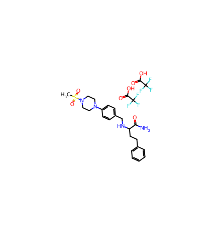 CS(=O)(=O)N1CCN(c2ccc(CNC(CCc3ccccc3)C(N)=O)cc2)CC1.O=C(O)C(F)(F)F.O=C(O)C(F)(F)F